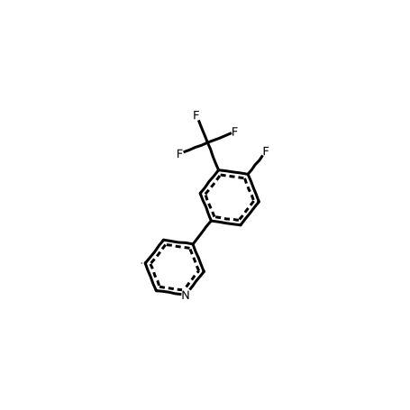 Fc1ccc(-c2c[c]cnc2)cc1C(F)(F)F